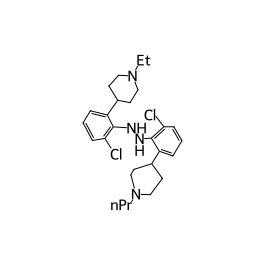 CCCN1CCC(c2cccc(Cl)c2NNc2c(Cl)cccc2C2CCN(CC)CC2)CC1